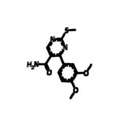 COc1ccc(-c2nc(SC)ncc2C(N)=O)cc1OC